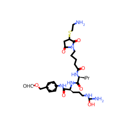 CC(C)[C@H](NC(=O)CCCCN1C(=O)CC(SCCN)C1=O)C(=O)N[C@@H](CCCNC(N)O)C(=O)Nc1ccc(COC=O)cc1